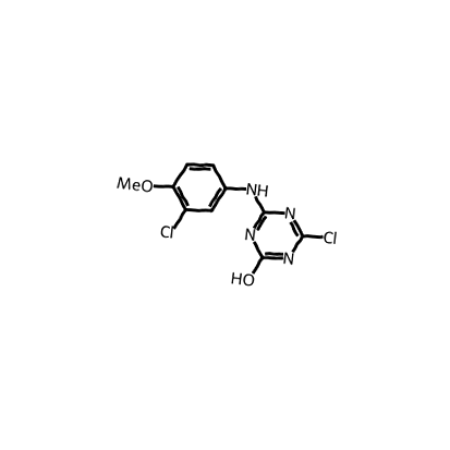 COc1ccc(Nc2nc(O)nc(Cl)n2)cc1Cl